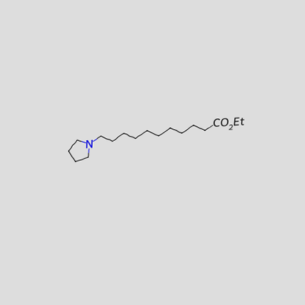 CCOC(=O)CCCCCCCCCCN1CCCC1